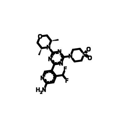 C[C@@H]1COC[C@H](C)N1c1nc(-c2cnc(N)cc2C(F)F)nc(N2CCS(=O)(=O)CC2)n1